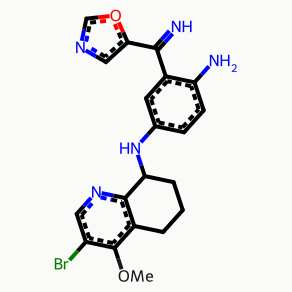 COc1c(Br)cnc2c1CCCC2Nc1ccc(N)c(C(=N)c2cnco2)c1